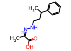 C/C(=N/NCCC(C)c1ccccc1)C(=O)O